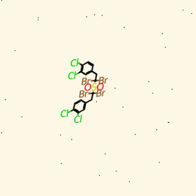 O=S(=O)(C(Br)(Br)Cc1ccc(Cl)c(Cl)c1)C(Br)(Br)Cc1ccc(Cl)c(Cl)c1